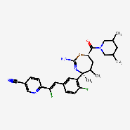 CC1CC(C)CN(C(=O)[C@H]2CC(C)[C@@](C)(c3cc(/C=C(\F)c4ccc(C#N)cn4)ccc3F)N=C(N)S2)C1